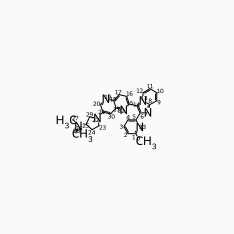 Cc1cccc(-c2nc3ccccn3c2-c2ccc3ncc(N4CC[C@H](N(C)C)C4)cc3n2)n1